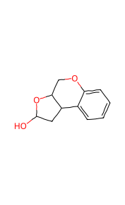 OC1CC2c3ccccc3OCC2O1